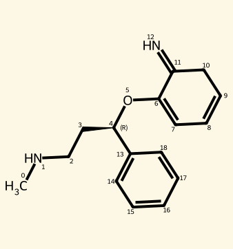 CNCC[C@@H](OC1=CC=CCC1=N)c1ccccc1